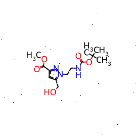 COC(=O)c1cc(CO)n(CCNC(=O)OC(C)(C)C)n1